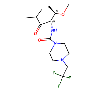 CO[C@H](C)[C@H](NC(=O)N1CCN(CC(F)(F)F)CC1)C(=O)C(C)C